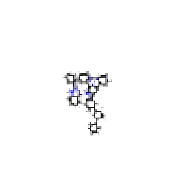 c1ccc(-c2cccc(-c3ccc4c(c3)c3cc5c6ccccc6n6c7ccccc7c(c3n4-c3nc(-c4ccccc4)nc4ccccc34)c56)c2)cc1